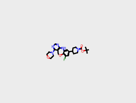 CC(C)(C)OC(=O)N1CCC(c2cc(F)c3c(c2)Nc2ncnc(N4CCOCC4)c2CO3)CC1